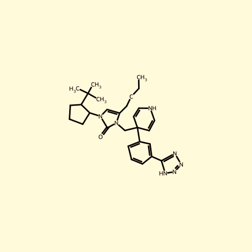 CCCCc1cn(C2CCCC2C(C)(C)C)c(=O)n1CC1(c2cccc(-c3nnn[nH]3)c2)C=CNC=C1